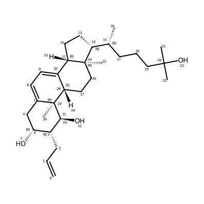 C=CC[C@@H]1[C@H](O)CC2=CC=C3[C@@H]4CC[C@H]([C@H](C)CCCC(C)(C)O)[C@@]4(C)CC[C@@H]3[C@@]2(C)[C@H]1O